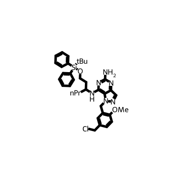 CCCC(CCO[Si](c1ccccc1)(c1ccccc1)C(C)(C)C)Nc1nc(N)nc2cnn(Cc3cc(CCl)ccc3OC)c12